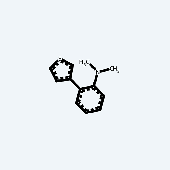 CN(C)c1ccccc1-c1ccsc1